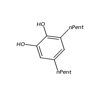 CCCCCc1cc(O)c(O)c(CCCCC)c1